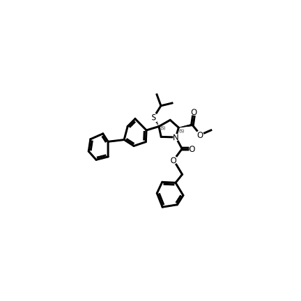 COC(=O)[C@@H]1C[C@](SC(C)C)(c2ccc(-c3ccccc3)cc2)CN1C(=O)OCc1ccccc1